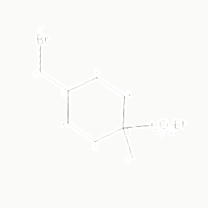 CCOC(=O)C1(C)CCC(CBr)CC1